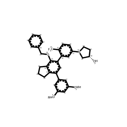 COc1cc(OC)cc(-c2cc(-c3cc(N4CC[C@H](O)C4)ccc3C(F)(F)F)c(OCc3ccccc3)c3c2CCC3)c1